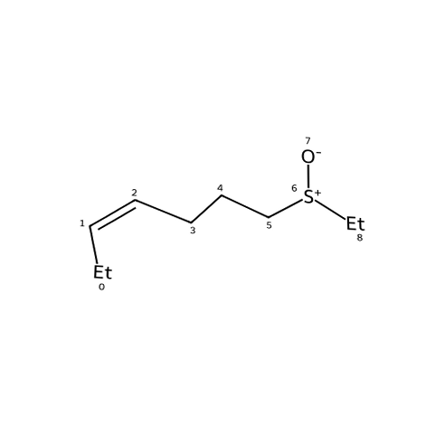 CC/C=C\CCC[S+]([O-])CC